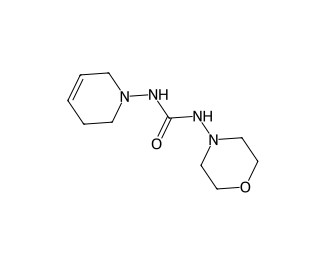 O=C(NN1CC=CCC1)NN1CCOCC1